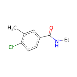 CCNC(=O)c1ccc(Cl)c(C)c1